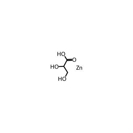 O=C(O)C(O)CO.[Zn]